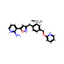 CS(=O)(=O)O.Nc1ncccc1-c1cc(Cc2ccc(COc3ccccn3)cc2)no1